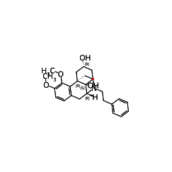 COc1ccc2c(c1OC)[C@]13CCN(CCc4ccccc4)[C@H](C2)[C@]1(O)CC[C@@H](O)C3